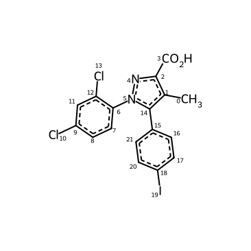 Cc1c(C(=O)O)nn(-c2ccc(Cl)cc2Cl)c1-c1ccc(I)cc1